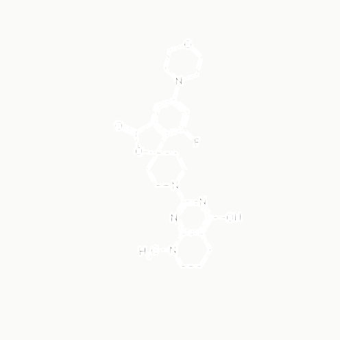 CN1CCCc2c(O)nc(N3CCC4(CC3)OC(=O)c3cc(N5CCOCC5)cc(F)c34)nc21